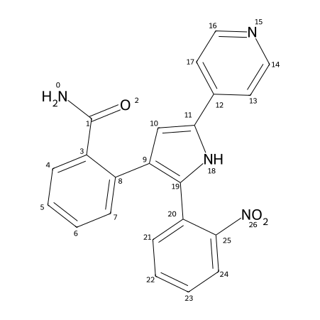 NC(=O)c1ccccc1-c1cc(-c2ccncc2)[nH]c1-c1ccccc1[N+](=O)[O-]